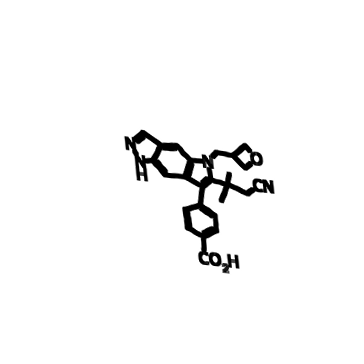 CC(C)(CC#N)c1c(-c2ccc(C(=O)O)cc2)c2cc3[nH]ncc3cc2n1CC1COC1